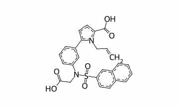 C=CCn1c(C(=O)O)ccc1-c1cccc(N(CC(=O)O)S(=O)(=O)c2ccc3ccccc3c2)c1